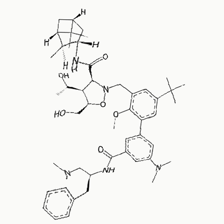 COc1c(CN2O[C@@H](CO)[C@@H]([C@H](C)O)[C@H]2C(=O)N[C@H]2C[C@H]3C[C@@H]([C@@H]2C)C3(C)C)cc(C(C)(C)C)cc1-c1cc(C(=O)N[C@@H](Cc2ccccc2)CN(C)C)cc(N(C)C)c1